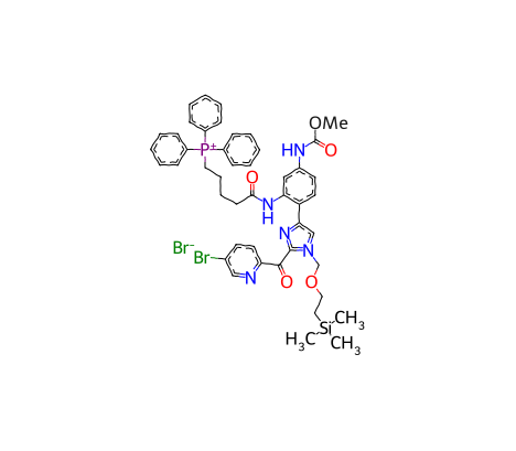 COC(=O)Nc1ccc(-c2cn(COCC[Si](C)(C)C)c(C(=O)c3ccc(Br)cn3)n2)c(NC(=O)CCCC[P+](c2ccccc2)(c2ccccc2)c2ccccc2)c1.[Br-]